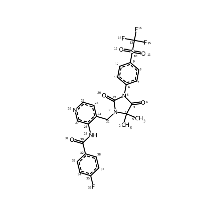 CC1(C)C(=O)N(c2ccc(S(=O)(=O)C(F)(F)F)cc2)C(=O)N1Cc1ccncc1NC(=O)c1ccc(F)cc1